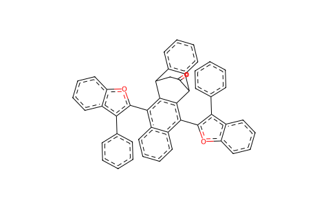 O=C1CC2c3ccccc3C1c1c2c(-c2oc3ccccc3c2-c2ccccc2)c2ccccc2c1-c1oc2ccccc2c1-c1ccccc1